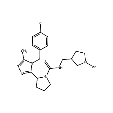 CC(=O)N1CCC(CNC(=O)N2CCCC2c2nnc(C)n2Cc2ccc(Cl)cc2)C1